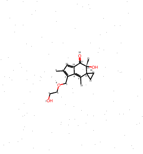 CC1=C(COCCO)C2=C(C)C3(CC3)[C@@](C)(O)C(=O)C2=C1